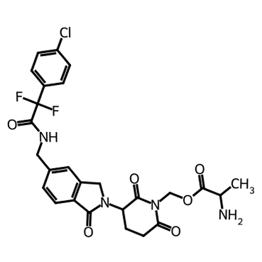 CC(N)C(=O)OCN1C(=O)CCC(N2Cc3cc(CNC(=O)C(F)(F)c4ccc(Cl)cc4)ccc3C2=O)C1=O